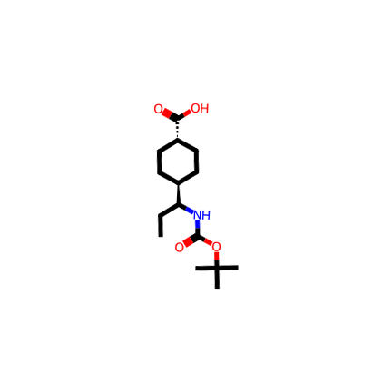 CCC(NC(=O)OC(C)(C)C)[C@H]1CC[C@H](C(=O)O)CC1